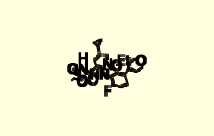 CCOc1c(C2=CCOCC2)ccc(F)c1Nc1ncc(C2CC2)cc1C(=O)NS(C)(=O)=O